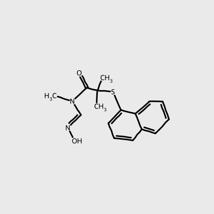 CN(C=NO)C(=O)C(C)(C)Sc1cccc2ccccc12